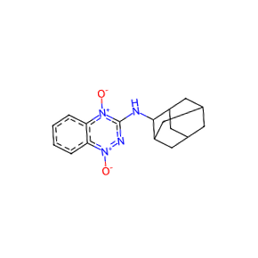 [O-][n+]1nc(NC2C3CC4CC(C3)CC2C4)[n+]([O-])c2ccccc21